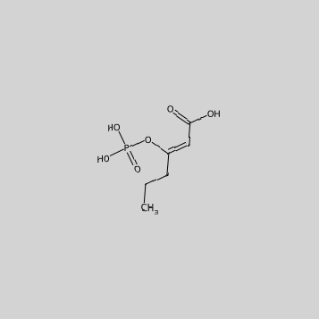 CCCC(=CC(=O)O)OP(=O)(O)O